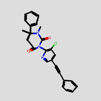 CN1C(=O)N(c2ncc(C#Cc3ccccc3)cc2Cl)C(=O)CC1(C)c1ccccc1